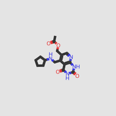 CC(=O)OCc1cnc2[nH]c(=O)[nH]c(=O)c2c1CNC1CCCC1